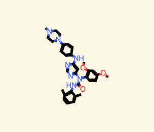 COc1ccc(N(C(=O)Nc2c(C)c#ccc2C)c2cc(Nc3ccc(N4CCN(C)CC4)cc3)ncn2)c(OC)c1